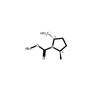 C[C@@H]1CC[C@@H](C(=O)O)N1C(=O)OC(C)(C)C